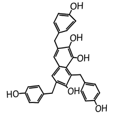 Oc1ccc(Cc2cc3cc(Cc4ccc(O)cc4)c(O)c(Cc4ccc(O)cc4)c3c(O)c2O)cc1